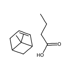 CC1(C)C2C=CCC1C2.CCCC(=O)O